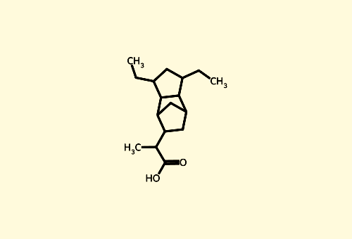 CCC1CC(CC)C2C3CC(CC3C(C)C(=O)O)C12